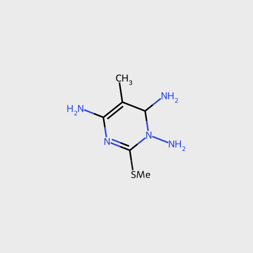 CSC1=NC(N)=C(C)C(N)N1N